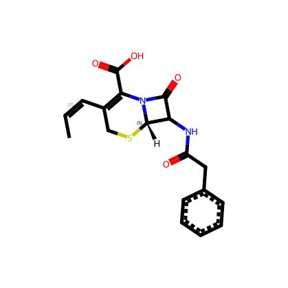 C/C=C\C1=C(C(=O)O)N2C(=O)C(NC(=O)Cc3ccccc3)[C@@H]2SC1